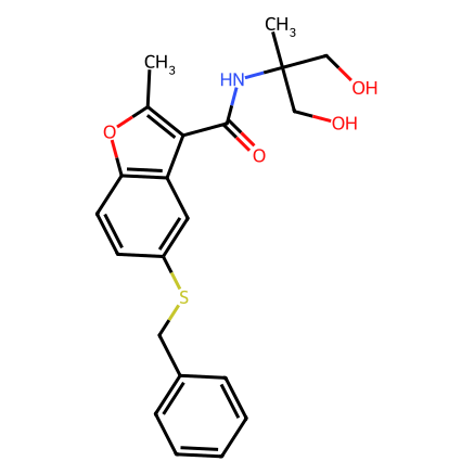 Cc1oc2ccc(SCc3ccccc3)cc2c1C(=O)NC(C)(CO)CO